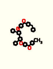 Cc1ccc(C(=O)c2ccc(Oc3ccc(-c4ccc(Oc5ccc(C(=O)c6ccc(Cc7ccccc7)cc6)cc5)c(-c5ccccc5)c4)cc3-c3ccccc3)cc2)cc1